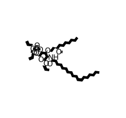 C=CCOP(=O)(OCC=C)O[C@H]1[C@H](OCC[C@@H](CCCCCCC)OC)[C@@H](NC(=O)CCCCCCCCC/C=C\CCCCCC)[C@H](O/C=C\C)O[C@@H]1COC